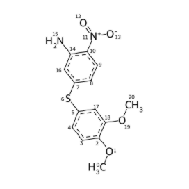 COc1ccc(Sc2ccc([N+](=O)[O-])c(N)c2)cc1OC